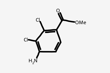 COC(=O)c1ccc(N)c(Cl)c1Cl